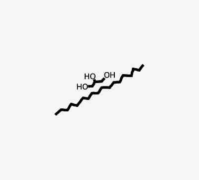 CCCCCCCCCCCCCCCCCC.OCC(O)CO